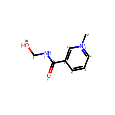 C[n+]1cccc(C(=O)NCO)c1